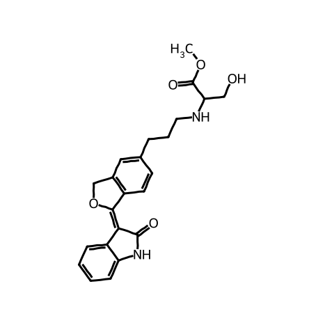 COC(=O)C(CO)NCCCc1ccc2c(c1)COC2=C1C(=O)Nc2ccccc21